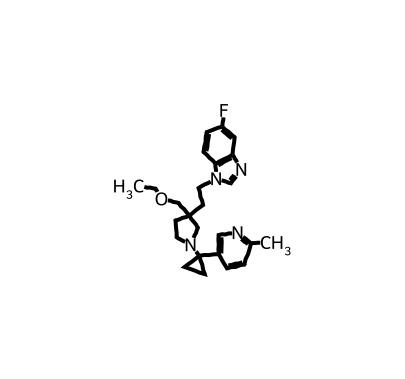 CCOCC1(CCn2cnc3cc(F)ccc32)CCN(C2(c3ccc(C)nc3)CC2)C1